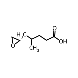 C1CO1.CC(C)CCC(=O)O